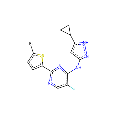 CCc1ccc(-c2ncc(F)c(Nc3cc(C4CC4)[nH]n3)n2)s1